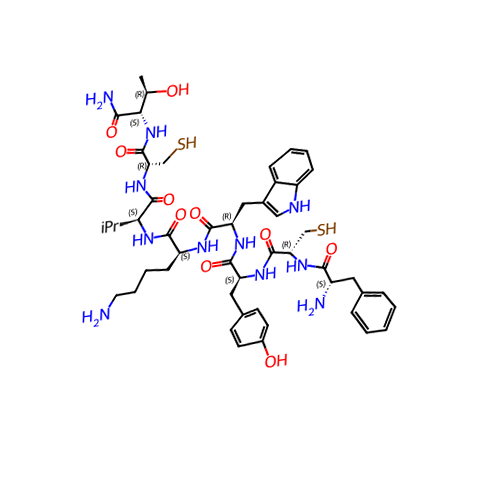 CC(C)[C@H](NC(=O)[C@H](CCCCN)NC(=O)[C@@H](Cc1c[nH]c2ccccc12)NC(=O)[C@H](Cc1ccc(O)cc1)NC(=O)[C@H](CS)NC(=O)[C@@H](N)Cc1ccccc1)C(=O)N[C@@H](CS)C(=O)N[C@H](C(N)=O)[C@@H](C)O